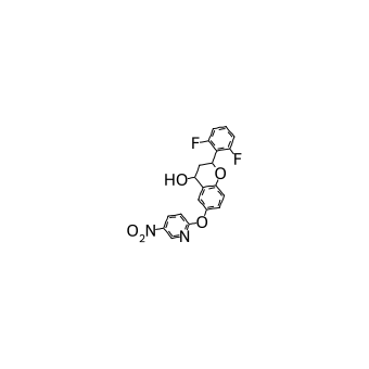 O=[N+]([O-])c1ccc(Oc2ccc3c(c2)C(O)CC(c2c(F)cccc2F)O3)nc1